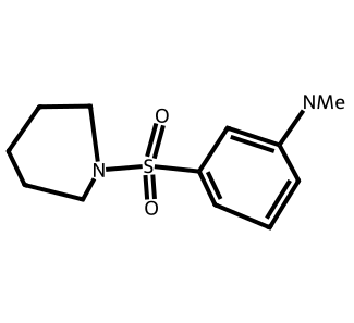 CNc1cccc(S(=O)(=O)N2CCCCC2)c1